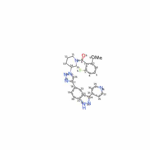 COc1cccc(F)c1C(=O)N1CCCC(n2cc(-c3ccc4[nH]nc(-c5ccncc5)c4c3)nn2)C1